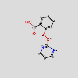 O=C(O)c1ccccc1OOc1ncccn1